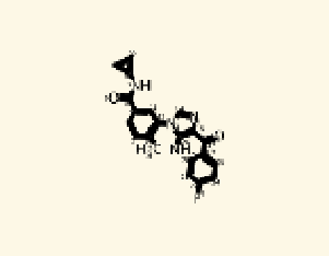 Cc1ccc(C(=O)NC2CC2)cc1-n1cnc(C(=O)c2ccc(F)cc2)c1N